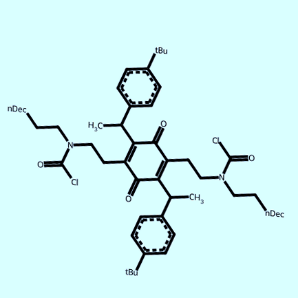 CCCCCCCCCCCCN(CCC1=C(C(C)c2ccc(C(C)(C)C)cc2)C(=O)C(CCN(CCCCCCCCCCCC)C(=O)Cl)=C(C(C)c2ccc(C(C)(C)C)cc2)C1=O)C(=O)Cl